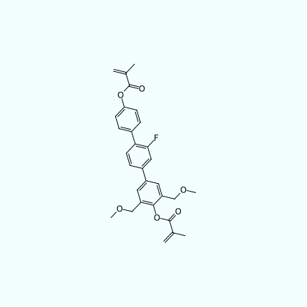 C=C(C)C(=O)Oc1ccc(-c2ccc(-c3cc(COC)c(OC(=O)C(=C)C)c(COC)c3)cc2F)cc1